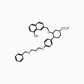 O=C(O)N1CCC(c2ccc(OCCCOCc3ccccc3)cc2)C(OCc2ccc3cccc(O)c3c2)C1